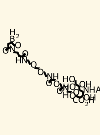 BC1CC(=O)N(CCCC(=O)NCCOCCOCCNC(=O)COCC(=O)NCCOC2(C(=O)O)CC(O)C(NC(C)=O)C(C(O)C(O)CO)O2)C1=O